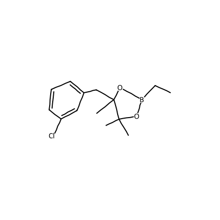 CCB1OC(C)(C)C(C)(Cc2cccc(Cl)c2)O1